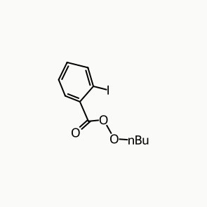 CCCCOOC(=O)c1ccccc1I